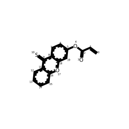 C=CC(=O)Oc1ccc2c(=S)c3ccccc3oc2c1